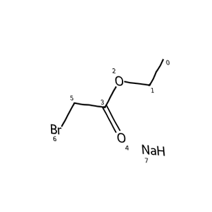 CCOC(=O)CBr.[NaH]